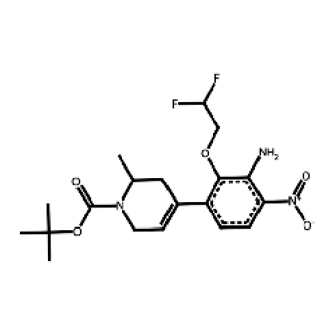 CC1CC(c2ccc([N+](=O)[O-])c(N)c2OCC(F)F)=CCN1C(=O)OC(C)(C)C